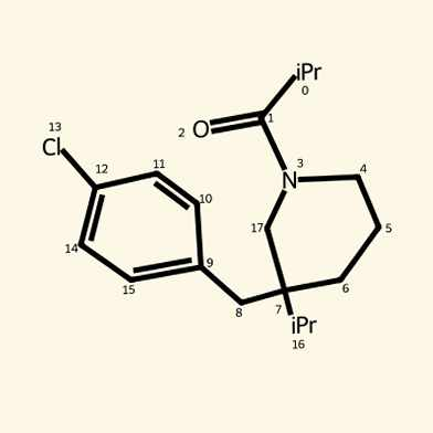 CC(C)C(=O)N1CCCC(Cc2ccc(Cl)cc2)(C(C)C)C1